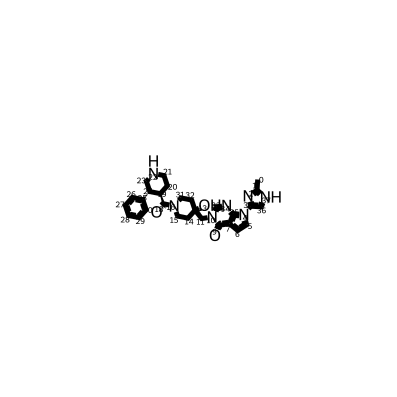 Cc1nc(-n2ccc3c(=O)n(CC4(O)CCN(C(=O)[C@@H]5CCNC[C@H]5c5ccccc5)CC4)cnc32)c[nH]1